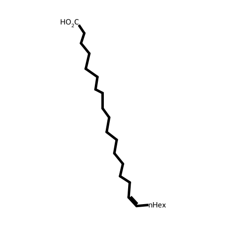 CCCCCC/C=C\CCCCCCCCCCCCCCCC(=O)O